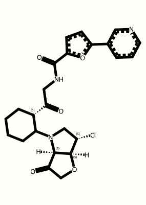 O=C(NCC(=O)[C@H]1CCCCC1N1C[C@H](Cl)[C@H]2OCC(=O)[C@H]21)c1ccc(-c2cccnc2)o1